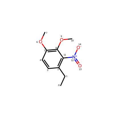 CCc1ccc(OC)c(OC)c1[N+](=O)[O-]